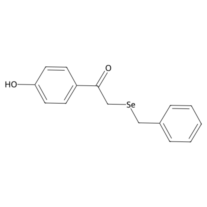 O=C(C[Se]Cc1ccccc1)c1ccc(O)cc1